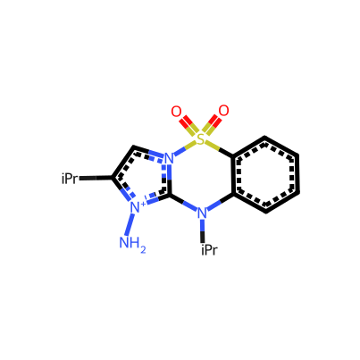 CC(C)c1cn2c([n+]1N)N(C(C)C)c1ccccc1S2(=O)=O